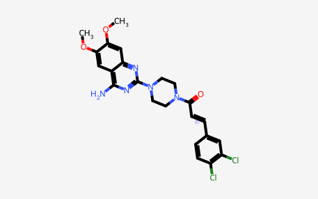 COc1cc2nc(N3CCN(C(=O)/C=C/c4ccc(Cl)c(Cl)c4)CC3)nc(N)c2cc1OC